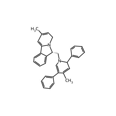 CC1=CCN2C(=C1)c1ccccc1[C@H]2CN1C=C(c2ccccc2)C(C)=CC1c1ccccc1